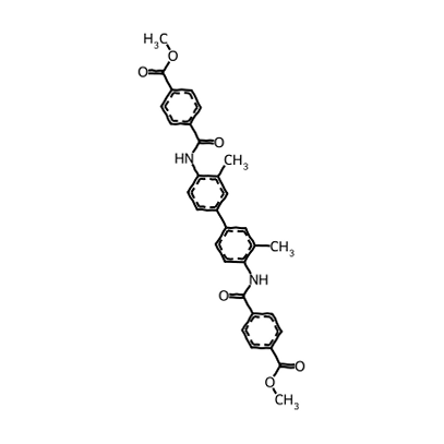 COC(=O)c1ccc(C(=O)Nc2ccc(-c3ccc(NC(=O)c4ccc(C(=O)OC)cc4)c(C)c3)cc2C)cc1